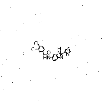 O=C(Cc1ccc(Cl)c(Cl)c1)Nc1ccc2nc(-c3cscn3)[nH]c2c1